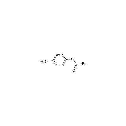 [CH2]c1ccc(OC(=O)CC)cc1